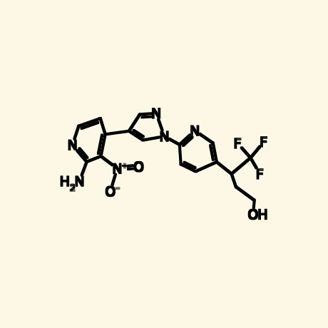 Nc1nccc(-c2cnn(-c3ccc(C(CCO)C(F)(F)F)cn3)c2)c1[N+](=O)[O-]